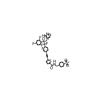 CS(=O)(=O)c1ccc(CNC(=O)c2ccc(C#Cc3ccc(C(F)(F)C(O)(Cn4cnnn4)c4ccc(F)cc4F)nc3)s2)cc1